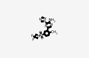 Cc1ccc(S(=O)(=O)N2CC(F)(F)C2)cc1-c1cnc(N)c(-n2cncn2)n1